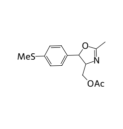 CSc1ccc(C2OC(C)=NC2COC(C)=O)cc1